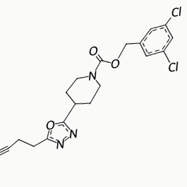 C#CCCc1nnc(C2CCN(C(=O)OCc3cc(Cl)cc(Cl)c3)CC2)o1